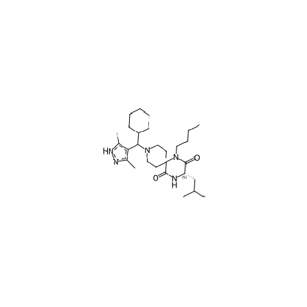 CCCCN1C(=O)[C@H](CC(C)C)NC(=O)C12CCN(C(c1c(C)n[nH]c1C)C1CCCCC1)CC2